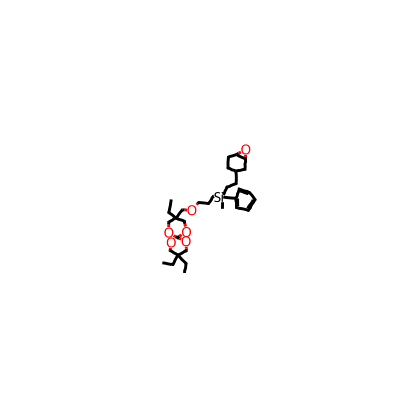 CCC1(CC)COC2(OC1)OCC(CC)(COCCC[Si](C)(CCC1CCC3OC3C1)c1ccccc1)CO2